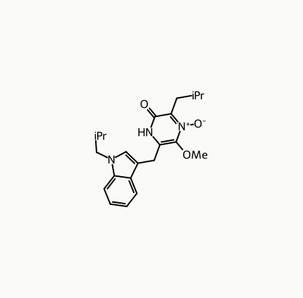 COc1c(Cc2cn(CC(C)C)c3ccccc23)[nH]c(=O)c(CC(C)C)[n+]1[O-]